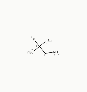 CCCCC(F)(CN)CCCC